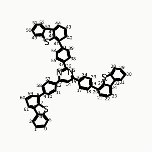 c1ccc2c(c1)sc1c(-c3ccc(-c4cc(-c5ccc(-c6cccc7c6sc6ccccc67)cc5)nc(-c5ccc(-c6cccc7c6sc6ccccc67)cc5)n4)cc3)cccc12